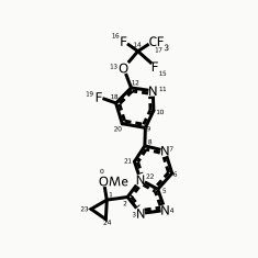 COC1(c2nnc3cnc(-c4cnc(OC(F)(F)C(F)(F)F)c(F)c4)cn23)CC1